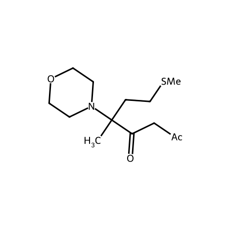 CSCCC(C)(C(=O)CC(C)=O)N1CCOCC1